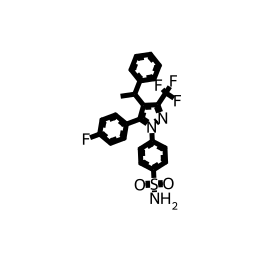 CC(c1ccccc1)c1c(C(F)(F)F)nn(-c2ccc(S(N)(=O)=O)cc2)c1-c1ccc(F)cc1